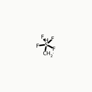 [CH2][SH](F)(F)(F)F